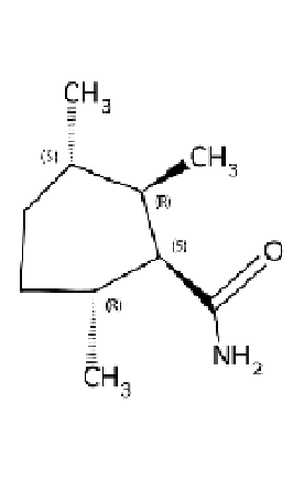 C[C@H]1[C@@H](C(N)=O)[C@H](C)CC[C@@H]1C